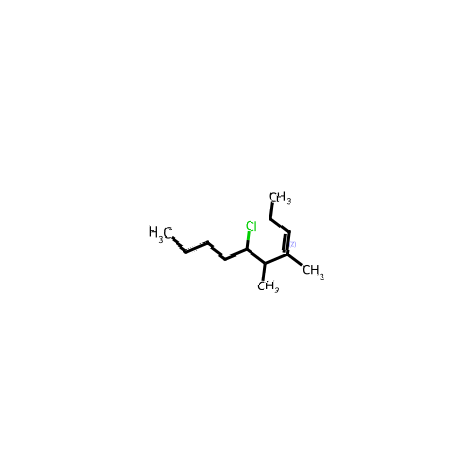 CC/C=C(/C)C(C)C(Cl)CCCC